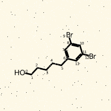 OCCCCCc1cc(Br)cc(Br)c1